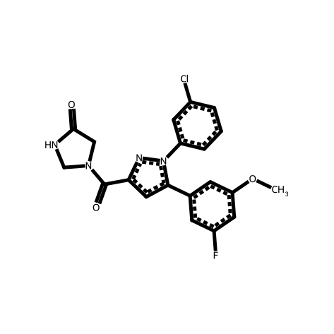 COc1cc(F)cc(-c2cc(C(=O)N3CNC(=O)C3)nn2-c2cccc(Cl)c2)c1